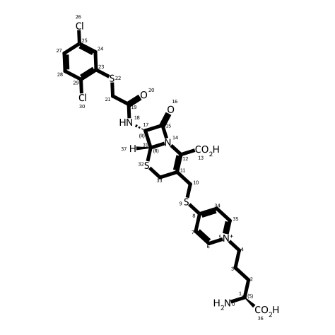 N[C@@H](CCC[n+]1ccc(SCC2=C(C(=O)O)N3C(=O)[C@@H](NC(=O)CSc4cc(Cl)ccc4Cl)[C@H]3SC2)cc1)C(=O)O